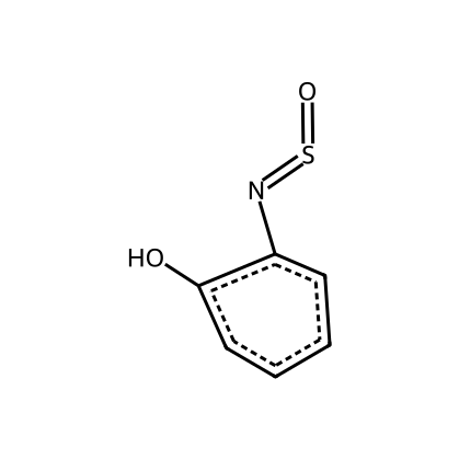 O=S=Nc1ccccc1O